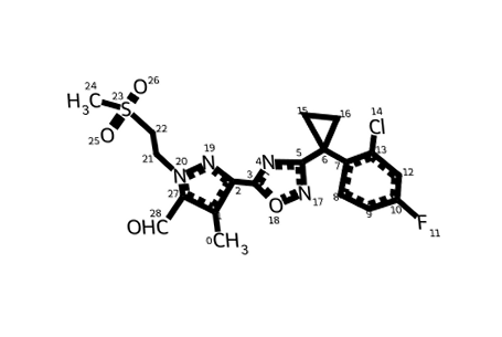 Cc1c(-c2nc(C3(c4ccc(F)cc4Cl)CC3)no2)nn(CCS(C)(=O)=O)c1C=O